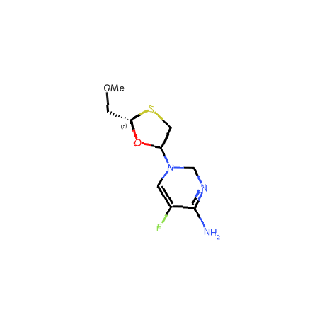 COC[C@H]1OC(N2C=C(F)C(N)=NC2)CS1